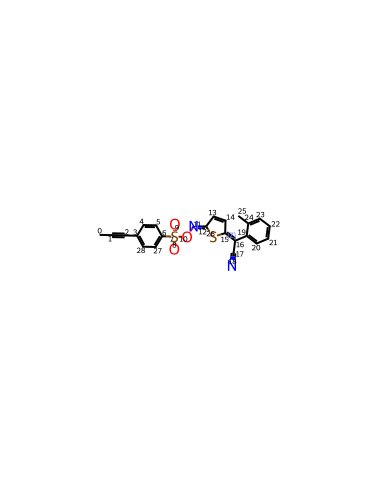 CC#Cc1ccc(S(=O)(=O)ON=C2C=C/C(=C(/C#N)c3ccccc3C)S2)cc1